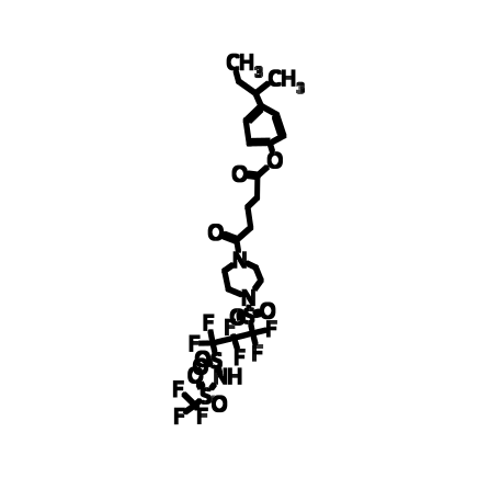 CCC(C)c1ccc(OC(=O)CCCC(=O)N2CCN(S(=O)(=O)C(F)(F)C(F)(F)C(F)(F)S(=O)(=O)NS(=O)(=O)C(F)(F)F)CC2)cc1